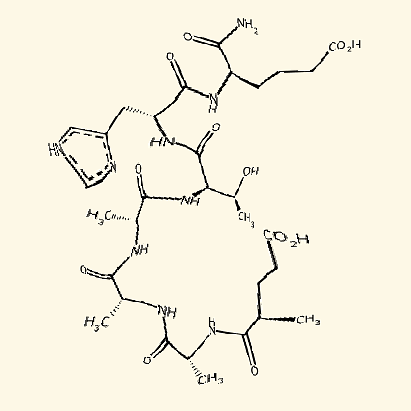 C[C@H](CCC(=O)O)C(=O)N[C@H](C)C(=O)N[C@H](C)C(=O)N[C@H](C)C(=O)N[C@@H](C(=O)N[C@H](Cc1c[nH]cn1)C(=O)N[C@H](CCCC(=O)O)C(N)=O)[C@H](C)O